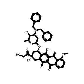 COc1cccc2c1C(=O)c1c(O)c3c(c(O)c1C2=O)C[C@@](O)(C(=O)CO)C[C@@H]3OC1CC(N(Cc2ccccc2)Cc2ccccc2)C(O)C(C)O1